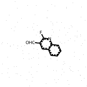 O=Cc1cc2ccccc2nc1F